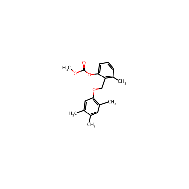 COC(=O)Oc1cccc(C)c1COc1cc(C)c(C)cc1C